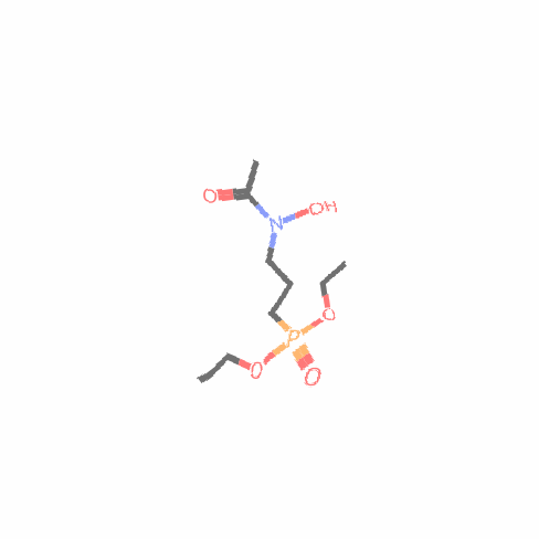 CCOP(=O)(CCCN(O)C(C)=O)OCC